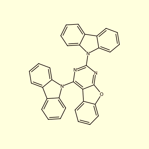 c1ccc2c(c1)oc1nc(-n3c4ccccc4c4ccccc43)nc(-n3c4ccccc4c4ccccc43)c12